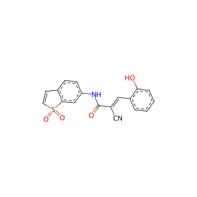 N#CC(=Cc1ccccc1O)C(=O)Nc1ccc2c(c1)S(=O)(=O)C=C2